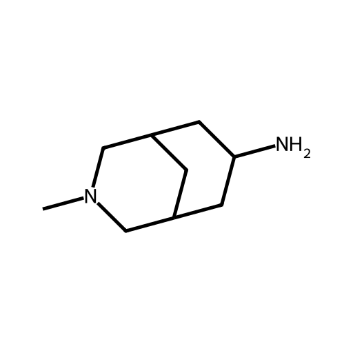 CN1CC2CC(N)CC(C2)C1